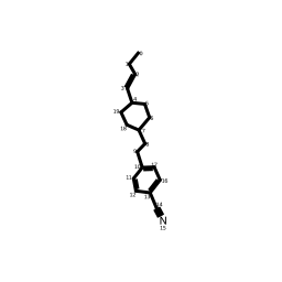 CCC=CC1CCC(CCc2ccc(C#N)cc2)CC1